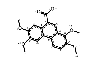 COc1cc2c(C(=O)O)cc3c(OC)c(OC)ccc3c2cc1OC